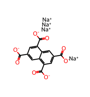 O=C([O-])c1cc(C(=O)[O-])c2cc(C(=O)[O-])cc(C(=O)[O-])c2c1.[Na+].[Na+].[Na+].[Na+]